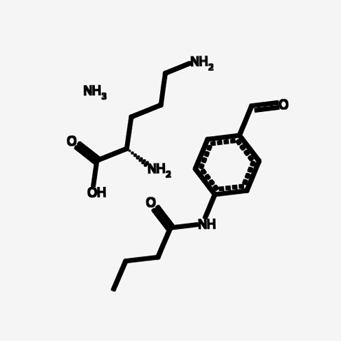 CCCC(=O)Nc1ccc(C=O)cc1.N.NCCC[C@H](N)C(=O)O